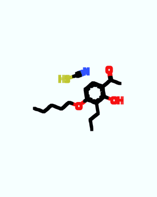 CCCCCOc1ccc(C(C)=O)c(O)c1CCC.N#CS